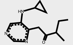 CCC(C)C(=O)Cc1ncncc1NC1CC1